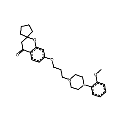 COc1ccccc1N1CCN(CCCOc2ccc3c(c2)OC2(CCCC2)CC3=O)CC1